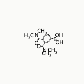 CN(C)C(=O)c1ccc(B(O)O)cc1C(=O)N(C)C